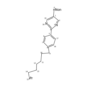 CCCCCCCCCc1cnc(-c2ccc(CCCCCCC(C)C)cc2)nc1